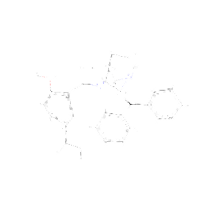 CCC(C)c1ccc(OC)c(CN[C@H]2[C@H]3CC[N@@](C3)[C@H]2C(c2ccccc2)c2ccccc2)c1